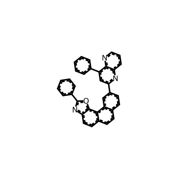 c1ccc(-c2nc3ccc4ccc5ccc(-c6cc(-c7ccccc7)c7ncccc7n6)cc5c4c3o2)cc1